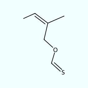 CC=C(C)COC=S